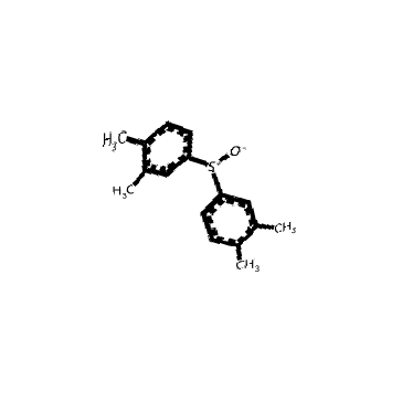 Cc1ccc([S+]([O-])c2ccc(C)c(C)c2)cc1C